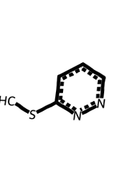 O=[C]Sc1cccnn1